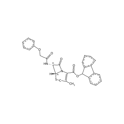 CC1=C(C(=O)OC2c3ccccc3-c3ccccc32)N2C(=O)[C@@H](NC(=O)COc3ccccc3)[C@H]2SC1